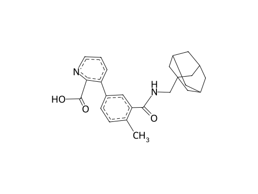 Cc1ccc(-c2cccnc2C(=O)O)cc1C(=O)NCC12CC3CC(CC(C3)C1)C2